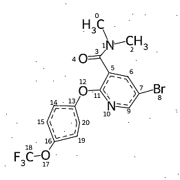 CN(C)C(=O)c1cc(Br)cnc1Oc1ccc(OC(F)(F)F)cc1